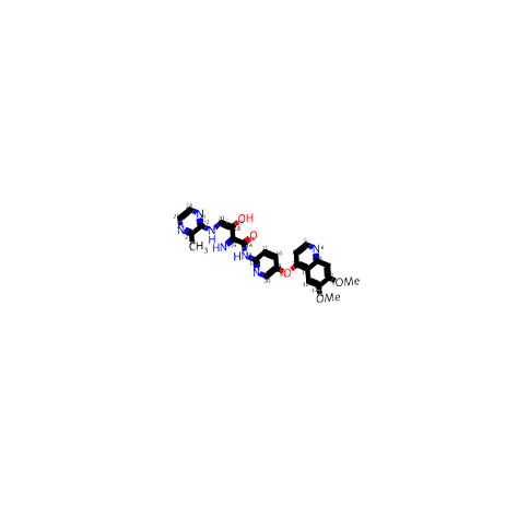 COc1cc2nccc(Oc3ccc(NC(=O)C(=N)/C(O)=C\Nc4nccnc4C)nc3)c2cc1OC